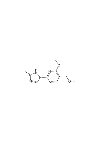 COCc1ccc(N2C=NN(C)N2)nc1OC